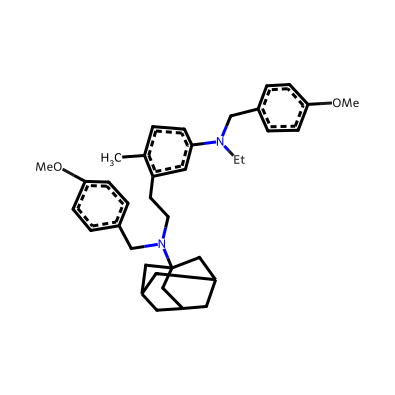 CCN(Cc1ccc(OC)cc1)c1ccc(C)c(CCN(Cc2ccc(OC)cc2)C23CC4CC(CC(C4)C2)C3)c1